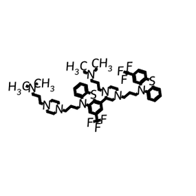 CCN(CC)CCCN1CCN(CCCN2c3ccccc3Sc3ccc(C(F)(F)F)cc32)CC1c1cc(C(F)(F)F)cc2c1Sc1ccccc1N2CCCN1CCN(CCCN(C)C)CC1